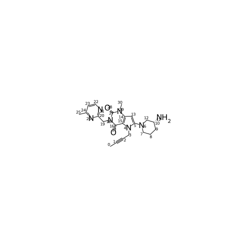 CC#CCn1c(N2CCC[C@@H](N)C2)cc2c1c(=O)n(Cc1nccc(C)n1)c(=O)n2C